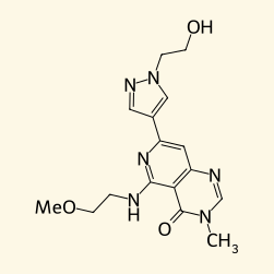 COCCNc1nc(-c2cnn(CCO)c2)cc2ncn(C)c(=O)c12